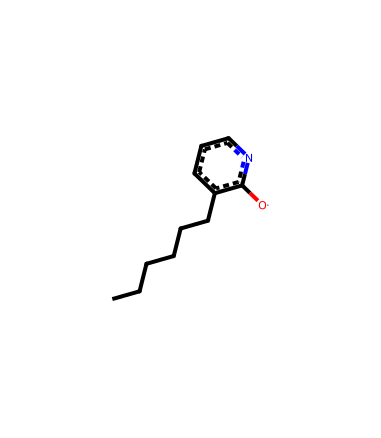 CCCCCCc1cccnc1[O]